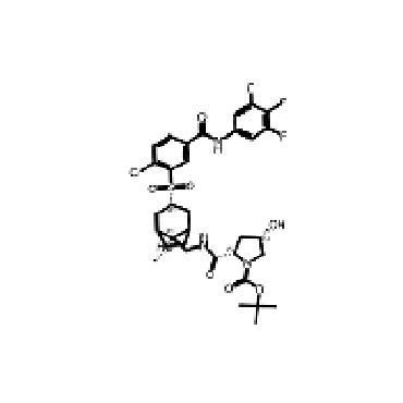 C[C@H]1CC2C[C@@H](S(=O)(=O)c3cc(C(=O)Nc4cc(F)c(F)c(F)c4)ccc3Cl)CC1[C@@]2(O)CNC(=O)[C@@H]1C[C@H](O)CN1C(=O)OC(C)(C)C